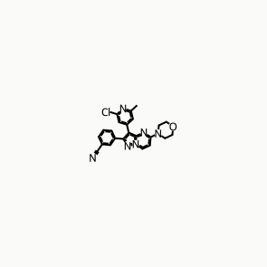 Cc1cc(-c2c(-c3cccc(C#N)c3)nn3ccc(N4CCOCC4)nc23)cc(Cl)n1